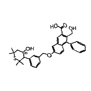 CC1(C)C[C@@H](O)C(c2cccc(COc3ccc4c(-c5ccccc5)c(CO)c(C(=O)O)cc4c3)c2)C(C)(C)S1